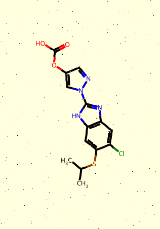 CC(C)Sc1cc2[nH]c(-n3cc(OC(=O)O)cn3)nc2cc1Cl